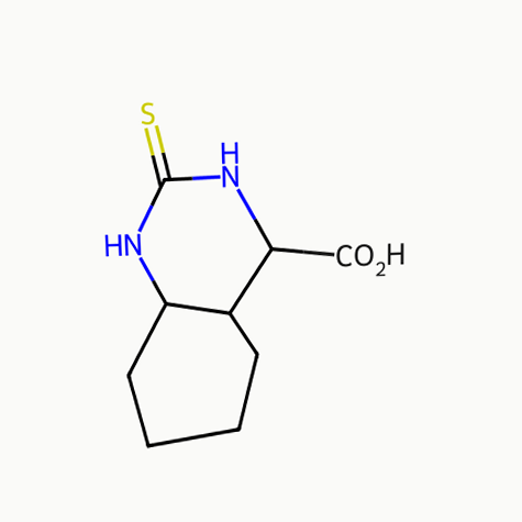 O=C(O)C1NC(=S)NC2CCCCC21